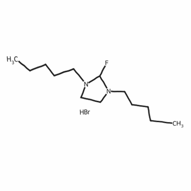 Br.CCCCCN1CCN(CCCCC)C1F